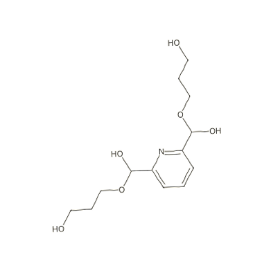 OCCCOC(O)c1cccc(C(O)OCCCO)n1